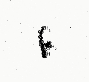 COCCOC(=O)CCN1CCC(C2CCN(C(=O)[C@@H](Cc3cc(Cl)c(N)c(C(F)(F)F)c3)OC(=O)N3CCC(N4CCc5ccccc5NC4=O)CC3)CC2)CC1